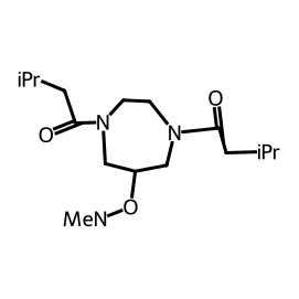 CNOC1CN(C(=O)CC(C)C)CCN(C(=O)CC(C)C)C1